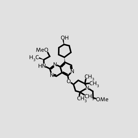 COCCN1C(C)(C)CC(Oc2ncc([C@H]3CC[C@H](O)CC3)c3nc(N[C@@H](C)COC)ncc23)CC1(C)C